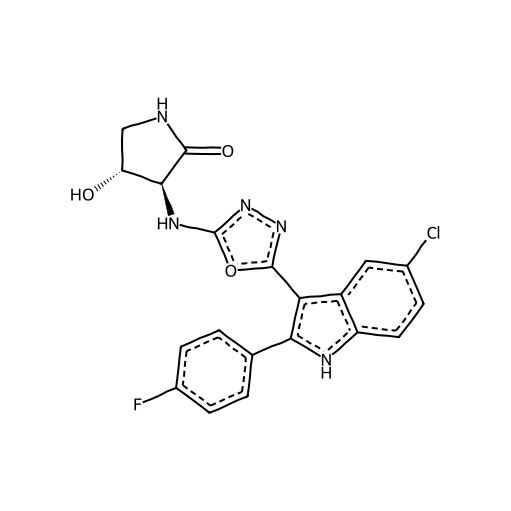 O=C1NC[C@@H](O)[C@@H]1Nc1nnc(-c2c(-c3ccc(F)cc3)[nH]c3ccc(Cl)cc23)o1